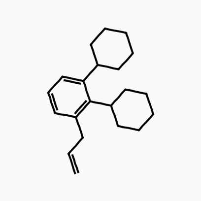 C=CCc1cccc(C2CCCCC2)c1C1CCCCC1